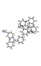 N#Cc1ccc2c(c1)c1ccccc1n2-c1cccc(-c2cc(C#N)c([Si](c3ccccc3)(c3ccccc3)c3ccccc3)c(C#N)c2)c1